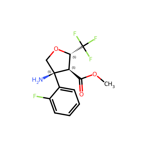 COC(=O)[C@@H]1[C@@H](C(F)(F)F)OC[C@@]1(N)c1ccccc1F